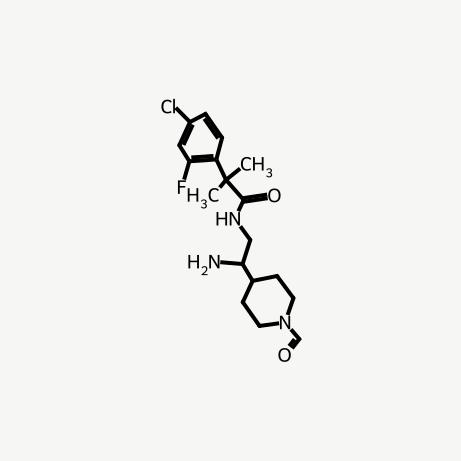 CC(C)(C(=O)NCC(N)C1CCN(C=O)CC1)c1ccc(Cl)cc1F